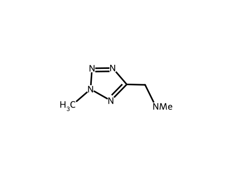 CNCc1nnn(C)n1